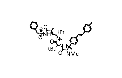 CN[C@H](C(=O)N[C@H](C(=O)N(C)[C@H](C=C(C)C(=O)NS(=O)(=O)Cc1ccccc1)C(C)C)C(C)(C)C)C(C)(C)c1ccc(C=Cc2ccc(C)cc2)cc1